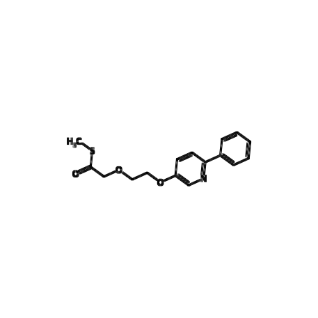 CSC(=O)COCCOc1ccc(-c2ccccc2)nc1